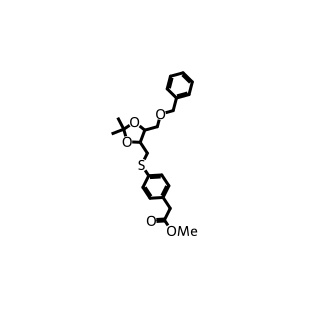 COC(=O)Cc1ccc(SCC2OC(C)(C)OC2COCc2ccccc2)cc1